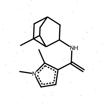 C=C(NC1CC2CCC1C(C)C2)c1ccn(C)c1C